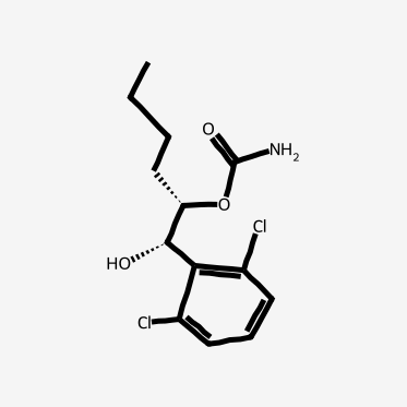 CCCC[C@H](OC(N)=O)[C@@H](O)c1c(Cl)cccc1Cl